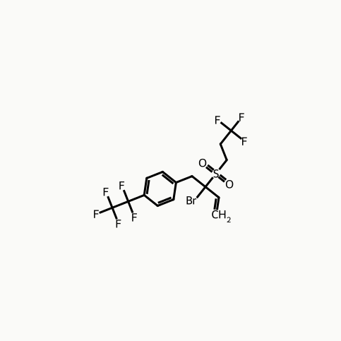 C=CC(Br)(Cc1ccc(C(F)(F)C(F)(F)F)cc1)S(=O)(=O)CCC(F)(F)F